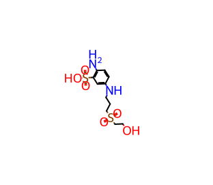 Nc1ccc(NCCCS(=O)(=O)CCO)cc1S(=O)(=O)O